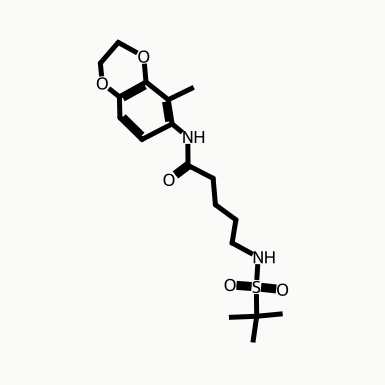 Cc1c(NC(=O)CCCCNS(=O)(=O)C(C)(C)C)ccc2c1OCCO2